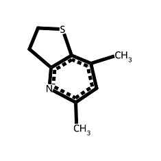 Cc1cc(C)c2c(n1)CCS2